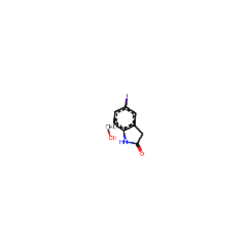 O=C1Cc2cc(I)ccc2N1.O=CO